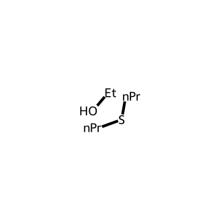 CCCSCCC.CCO